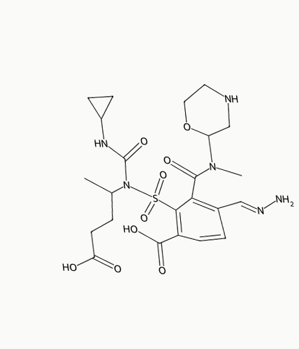 CC(CCC(=O)O)N(C(=O)NC1CC1)S(=O)(=O)c1c(C(=O)O)ccc(C=NN)c1C(=O)N(C)C1CNCCO1